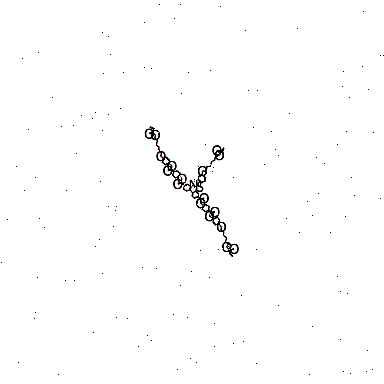 C=CC(=O)OCCCCCCOc1ccc(OC(=O)C2CCC(OC(=O)c3ccc4c(c3)nc(Sc3ccc(OCCCCCCOC(=O)C=C)cc3)c3cc(C(=O)OC5CCC(C(=O)Oc6ccc(OCCCCCCOC(=O)C=C)cc6)CC5)ccc34)CC2)cc1